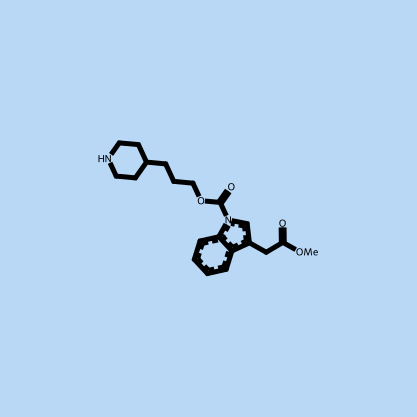 COC(=O)Cc1cn(C(=O)OCCCC2CCNCC2)c2ccccc12